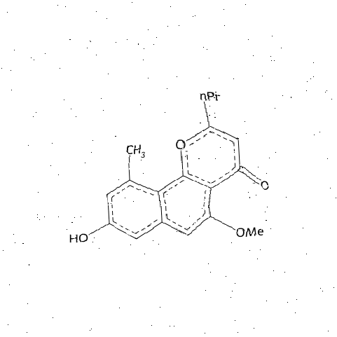 CCCc1cc(=O)c2c(OC)cc3cc(O)cc(C)c3c2o1